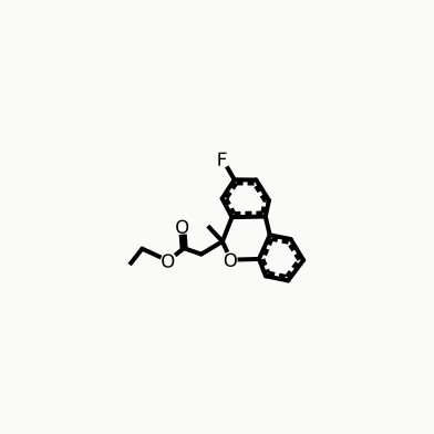 CCOC(=O)CC1(C)Oc2ccccc2-c2ccc(F)cc21